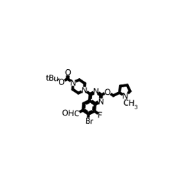 CN1CCCC1COc1nc(N2CCN(C(=O)OC(C)(C)C)CC2)c2cc(C=O)c(Br)c(F)c2n1